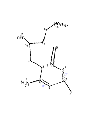 C=N/N=C(C)\C=C(\N)CCC(CCC)CCNC